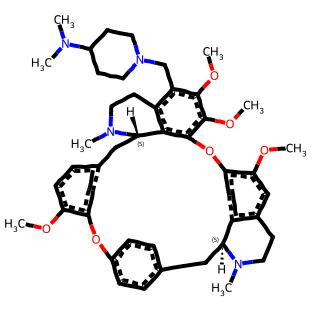 COc1ccc2cc1Oc1ccc(cc1)C[C@H]1c3cc(c(OC)cc3CCN1C)Oc1c(OC)c(OC)c(CN3CCC(N(C)C)CC3)c3c1[C@H](C2)N(C)CC3